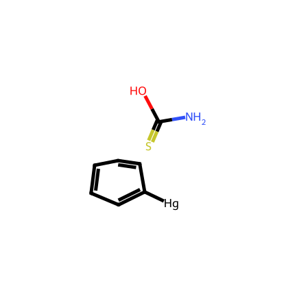 NC(O)=S.[Hg][c]1ccccc1